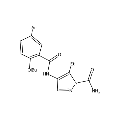 CCc1c(NC(=O)c2cc(C(C)=O)ccc2OCC(C)C)cnn1C(N)=O